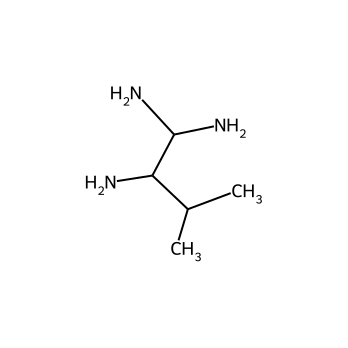 CC(C)C(N)C(N)N